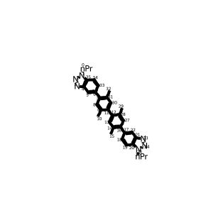 CCCn1nnc2cc(-c3cc(C)c(-c4cc(C)c(-c5ccc6c(c5)nnn6CCC)cc4C)cc3C)ccc21